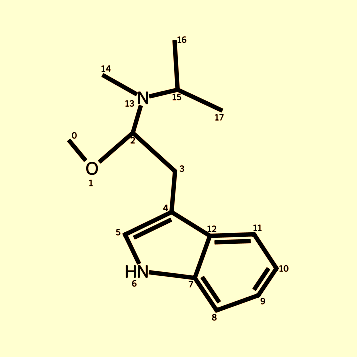 COC(Cc1c[nH]c2ccccc12)N(C)C(C)C